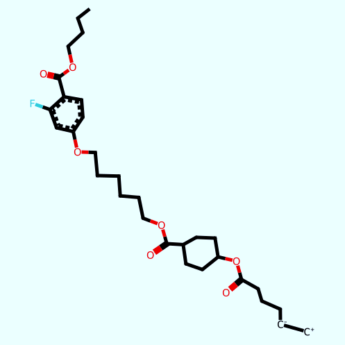 [CH2+][CH-]CCCC(=O)OC1CCC(C(=O)OCCCCCCOc2ccc(C(=O)OCCCC)c(F)c2)CC1